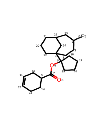 CCC1CCC2(C3(OC(=O)C4CC=CCC4)CCCC3)CCCC(C1)C2